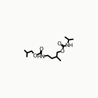 CC(C)COC(=O)NCCC(C)COC(=O)NC(C)C